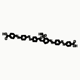 O=C(O)c1ccc(N=Nc2ccc(N=Nc3ccc(C=Cc4ccc(N=Nc5ccc(N=Nc6ccc(C(=O)O)cc6)cc5)cc4S(=O)(=O)O)cc3)cc2)cc1